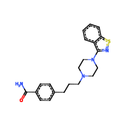 NC(=O)c1ccc(CCCN2CCN(c3nsc4ccccc34)CC2)cc1